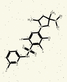 CCN(CC)C1(C)CC(C)N(c2cc(F)c(S(=O)(=O)Nc3cccc(F)n3)c(F)c2Cl)C1